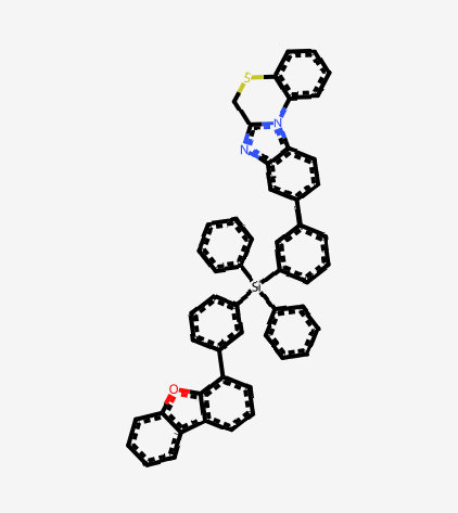 c1ccc([Si](c2ccccc2)(c2cccc(-c3ccc4c(c3)nc3n4-c4ccccc4SC3)c2)c2cccc(-c3cccc4c3oc3ccccc34)c2)cc1